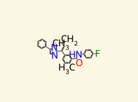 C=C/C=C(/c1ccc(C)c(C(=O)Nc2ccc(F)cc2)c1)c1ncc(-c2ccccc2)n1C